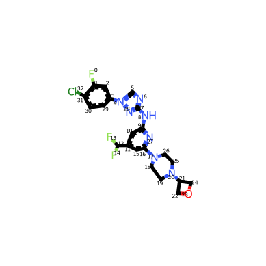 Fc1cc(-n2cnc(Nc3cc(C(F)F)cc(N4CCN(C5COC5)CC4)n3)n2)ccc1Cl